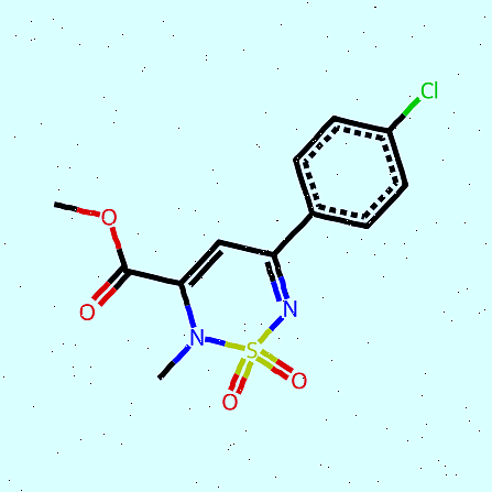 COC(=O)C1=CC(c2ccc(Cl)cc2)=NS(=O)(=O)N1C